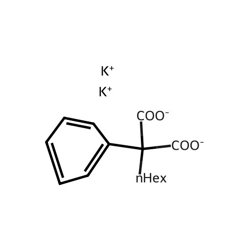 CCCCCCC(C(=O)[O-])(C(=O)[O-])c1ccccc1.[K+].[K+]